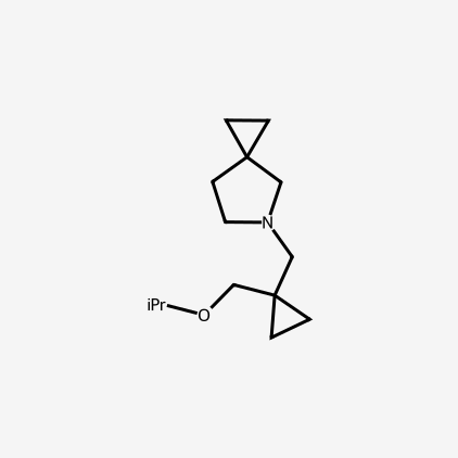 CC(C)OCC1(CN2CCC3(CC3)C2)CC1